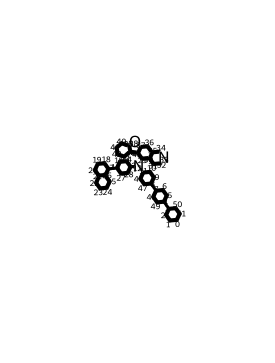 c1ccc(-c2ccc(-c3ccc(N(c4ccc(-c5cccc6ccccc56)cc4)c4c5ccncc5cc5oc6ccccc6c45)cc3)cc2)cc1